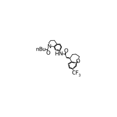 CCCCC(=O)N1CCCc2ccc(NC(=O)/C=C3\CCCOc4cc(C(F)(F)F)ccc43)cc21